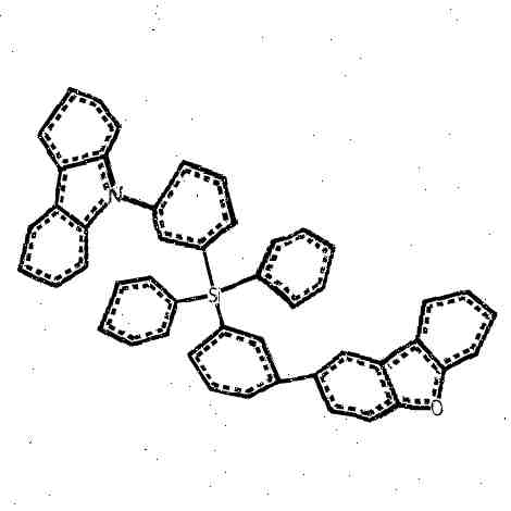 c1ccc([Si](c2ccccc2)(c2cccc(-c3ccc4oc5ccccc5c4c3)c2)c2cccc(-n3c4ccccc4c4ccccc43)c2)cc1